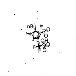 CCCCC1N(C)C=CN1S(=O)(=O)F.O=S(=O)(O)C(F)(F)F